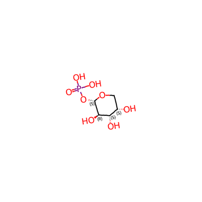 O=P(O)(O)O[C@@H]1OC[C@H](O)[C@H](O)[C@H]1O